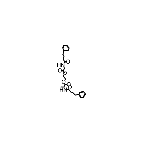 CC(NC(=O)CCCc1ccccc1)C(=O)OCCOC(=O)CNC(=O)CCCc1ccccc1